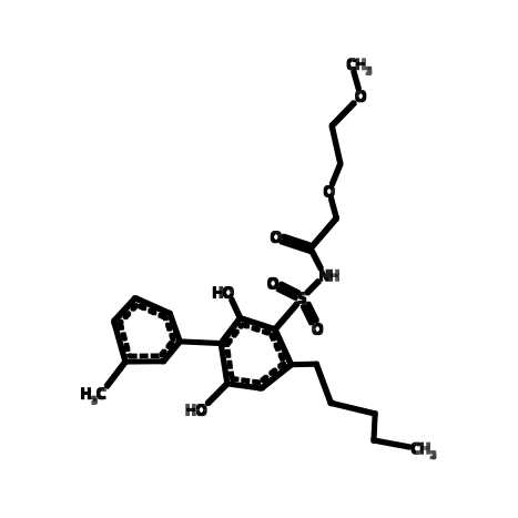 CCCCCc1cc(O)c(-c2cccc(C)c2)c(O)c1S(=O)(=O)NC(=O)COCCOC